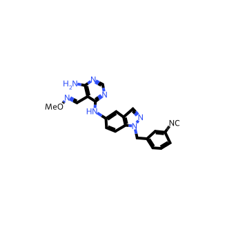 [C-]#[N+]c1cccc(Cn2ncc3cc(Nc4ncnc(N)c4/C=N/OC)ccc32)c1